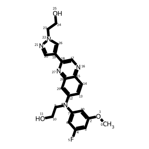 COc1cc(F)cc(N(CCO)c2ccc3ncc(-c4cnn(CCO)c4)nc3c2)c1